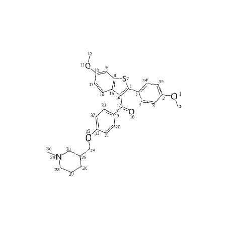 COc1ccc(-c2sc3cc(OC)ccc3c2C(=O)c2ccc(OCC3CCCN(C)C3)cc2)cc1